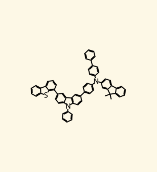 CC1(C)c2ccccc2-c2ccc(N(c3ccc(-c4ccccc4)cc3)c3ccc(-c4ccc5c(c4)c4cc(-c6cccc7c6sc6ccccc67)ccc4n5-c4ccccc4)cc3)cc21